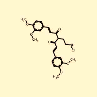 COc1ccc(/C=C/C(=O)C(CCNCl)C(=O)/C=C/c2ccc(OC)c(OC)c2)cc1OC